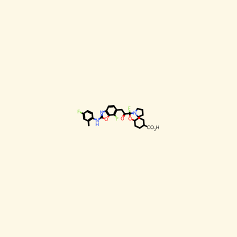 Cc1cc(F)ccc1Nc1nc2ccc(CC(=O)C(F)(OC3CCC(C(=O)O)CC3)N3CCCC3)c(F)c2o1